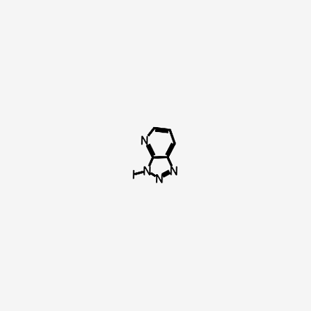 In1nnc2cccnc21